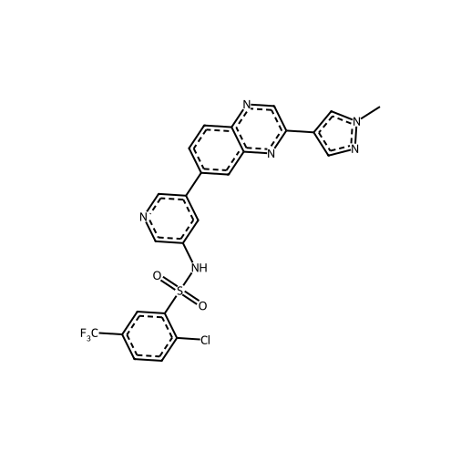 Cn1cc(-c2cnc3ccc(-c4cncc(NS(=O)(=O)c5cc(C(F)(F)F)ccc5Cl)c4)cc3n2)cn1